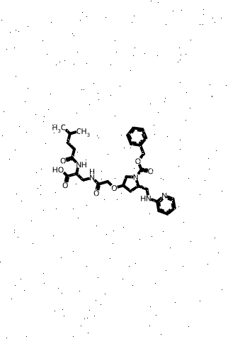 CC(C)CCC(=O)NC(CNC(=O)COC1CC(CNc2ccccn2)N(C(=O)OCc2ccccc2)C1)C(=O)O